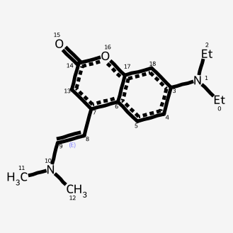 CCN(CC)c1ccc2c(/C=C/N(C)C)cc(=O)oc2c1